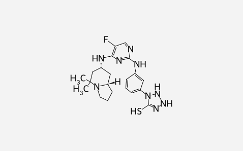 CC1(C)C[C@H](Nc2nc(Nc3cccc(N4NNN=C4S)c3)ncc2F)C[C@@H]2CCCN21